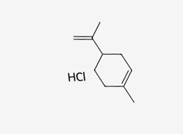 C=C(C)C1CC=C(C)CC1.Cl